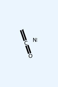 [C]=C=O.[N]